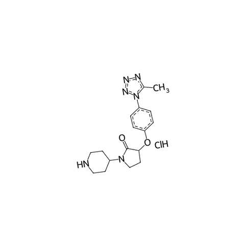 Cc1nnnn1-c1ccc(OC2CCN(C3CCNCC3)C2=O)cc1.Cl